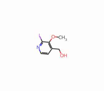 COc1c(CO)ccnc1I